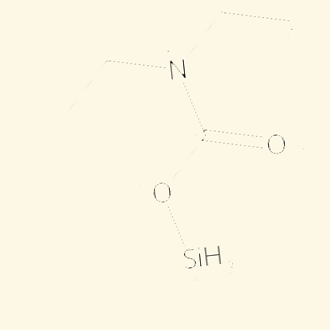 CCN(CC)C(=O)O[SiH3]